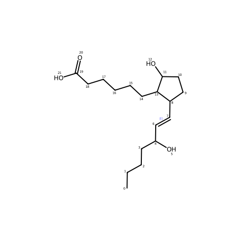 CCCCC(O)/C=C/C1CCC(O)C1CCCCCC(=O)O